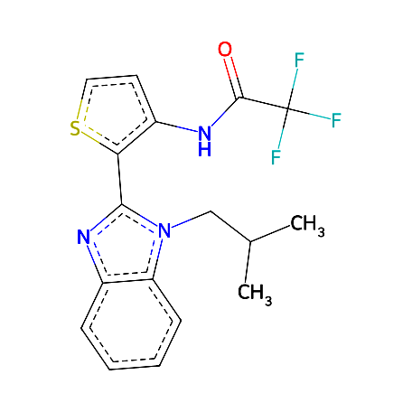 CC(C)Cn1c(-c2sccc2NC(=O)C(F)(F)F)nc2ccccc21